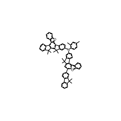 Cc1ccc(N(c2ccc3c(c2)C(C)(C)c2cc(-c4ccc5c(c4)C(C)(C)c4ccccc4-5)c4oc5ccccc5c4c2-3)c2ccc3c(c2)C(C)(C)c2c4c(c5c(oc6ccccc65)c2-3)-c2ccccc2C4(C)C)c(C)c1